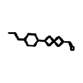 CCCC1CCC(C2CC3(CC(C=O)C3)C2)CC1